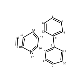 C=C.c1ccc(-c2ccccc2)cc1.c1ccncc1